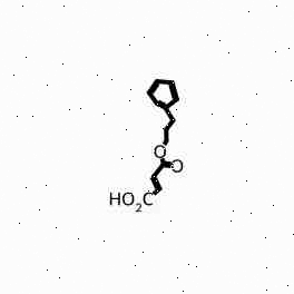 O=C(O)C=CC(=O)OCCCc1ccccc1